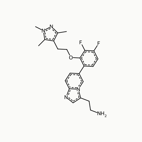 Cc1nn(C)c(C)c1CCOc1c(-c2ccc3ncc(CCN)n3c2)ccc(F)c1F